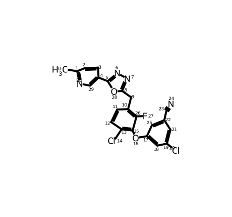 Cc1ccc(-c2nnc(Cc3ccc(Cl)c(Oc4cc(Cl)cc(C#N)c4)c3F)o2)cn1